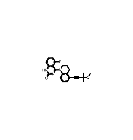 COC(C)(C)C#Cc1cccc2c1CCCN2c1nc(=O)[nH]c2cccc(F)c12